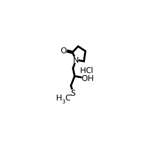 CSCC(O)CN1CCCC1=O.Cl